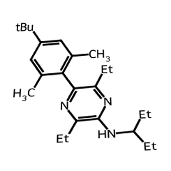 CCc1nc(-c2c(C)cc(C(C)(C)C)cc2C)c(CC)nc1NC(CC)CC